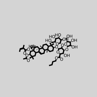 C/C=C(/C)C(=O)O[C@H]1[C@H](OC(C)=O)C(C)(C)CC2C3=CCC4[C@@]5(C)CC[C@H](O[C@@H]6OC(C(=O)OCCCC)[C@@H](O)[C@@H](O[C@@H]7O[C@@H](CO)[C@@H](O)C7O)C6O[C@@H]6OC(CO)[C@H](O)[C@@H](O)C6O)C(C)(C)C5CC[C@@]4(C)[C@]3(C)C[C@@H](O)[C@]21CO